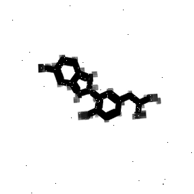 CC(O)Cc1ccc(O)c(-n2nc3ccc(Br)cc3n2)c1